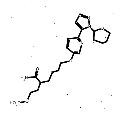 NC(=O)C(CCCCOc1ccc(-c2ccnn2C2CCCCO2)nc1)CCOC(=O)O